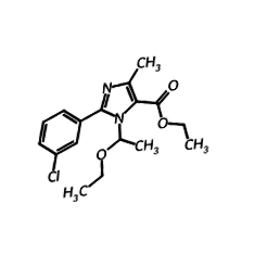 CCOC(=O)c1c(C)nc(-c2cccc(Cl)c2)n1C(C)OCC